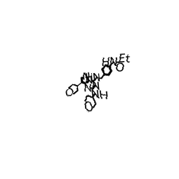 CCC(=O)Nc1ccc(CNc2nc(NC3CCOCC3)nc3c(C4CCOCC4)cnn23)cc1